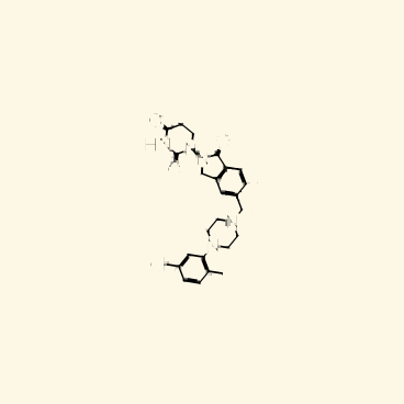 Cc1ccc(Cl)cc1N1CCN(Cc2ccc3c(c2)CN(N2CCC(=O)NC2=O)C3=O)CC1